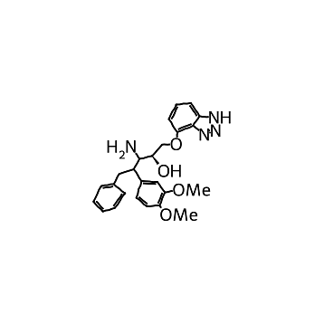 COc1ccc(C(Cc2ccccc2)C(N)[C@H](O)COc2cccc3[nH]nnc23)cc1OC